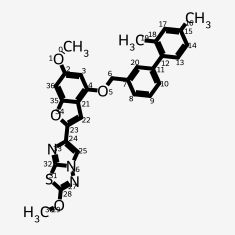 COc1cc(OCc2cccc(-c3ccc(C)cc3C)c2)c2cc(-c3cn4nc(OC)sc4n3)oc2c1